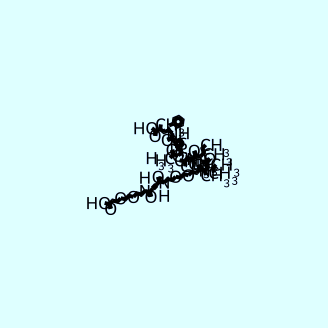 CC[C@H](C)[C@H](NC(=O)[C@H](C(C)C)N(C)C(=O)CCOCCOCCNC(=O)C#CC(=O)NCCOCCOCCC(=O)O)C(=O)N(C)[C@H](C[C@@H](OC(C)=O)c1nc(C(=O)N[C@@H](Cc2ccccc2)CC(C)C(=O)O)cs1)C(C)C